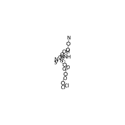 N#Cc1ccc(-c2ccc(CC(NC(=O)C3Cc4cc5c(cc4CN3C(=O)c3cscn3)OC(c3ccc(OCc4ccc(Cl)c(Cl)c4)cc3)CO5)C(=O)O)cc2)cc1